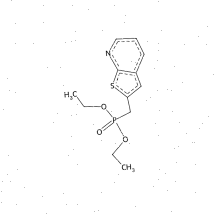 CCOP(=O)(Cc1cc2cccnc2s1)OCC